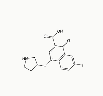 O=C(O)c1cn(CC2CCNC2)c2ccc(I)cc2c1=O